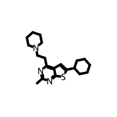 Cc1nc(CCN2CCCCC2)c2cc(C3CCCCC3)sc2n1